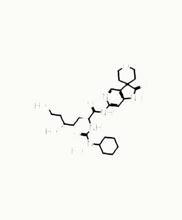 CCC[C@H](C)CC[C@H](NC(=O)N(C)C1CCCCC1)C(=O)Nc1cc2c(cn1)C1(CCOCC1)C(=O)N2